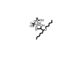 CCCCCOC(CCCCC)C(O)CO.O=P(O)(O)OP(=O)(O)O